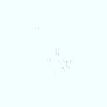 CCCCCCCCCCCCCCC(N)C(O)CCn1c(=O)c2c(ncn2C)n(C)c1=O